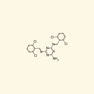 Nc1nc(N=Cc2c(Cl)cccc2Cl)nc(N=Cc2c(Cl)cccc2Cl)n1